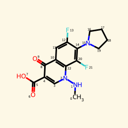 CNn1cc(C(=O)O)c(=O)c2cc(F)c(N3CCCC3)c(F)c21